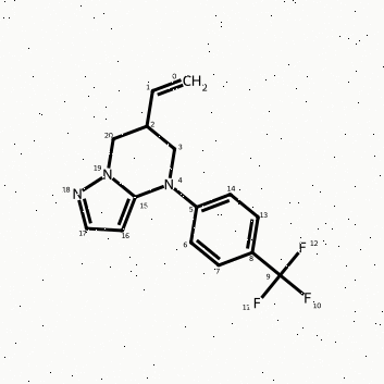 C=CC1CN(c2ccc(C(F)(F)F)cc2)c2ccnn2C1